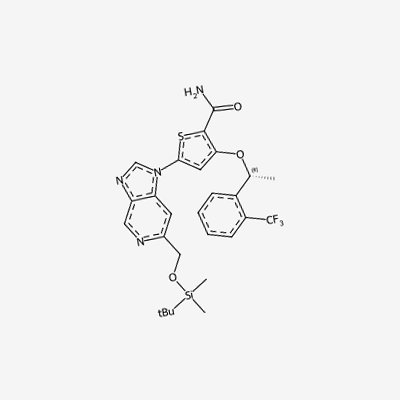 C[C@@H](Oc1cc(-n2cnc3cnc(CO[Si](C)(C)C(C)(C)C)cc32)sc1C(N)=O)c1ccccc1C(F)(F)F